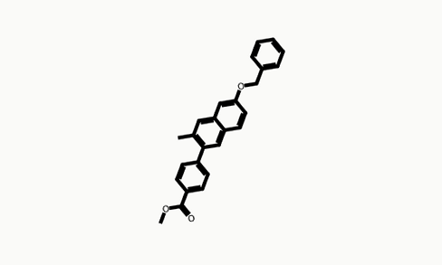 COC(=O)c1ccc(-c2cc3ccc(OCc4ccccc4)cc3cc2C)cc1